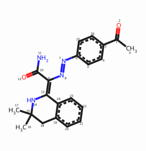 CC(=O)c1ccc(/N=N/C(C(N)=O)=C2/NC(C)(C)Cc3ccccc32)cc1